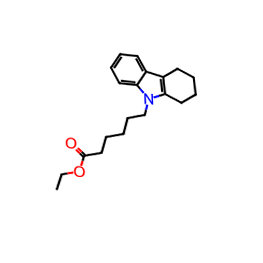 CCOC(=O)CCCCCn1c2c(c3ccccc31)CCCC2